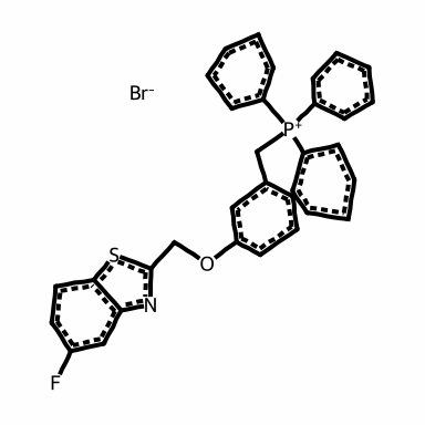 Fc1ccc2sc(COc3cccc(C[P+](c4ccccc4)(c4ccccc4)c4ccccc4)c3)nc2c1.[Br-]